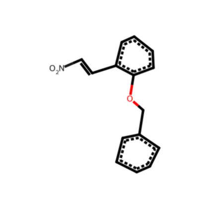 O=[N+]([O-])C=Cc1ccccc1OCc1ccccc1